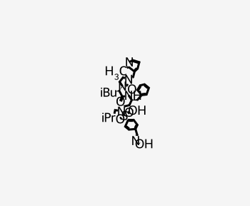 CC[C@H](C)[C@@H](C(=O)N[C@@H](Cc1ccccc1)[C@H](O)CN(CC(C)C)S(=O)(=O)c1ccc(/C=N/O)cc1)N1CCN(Cc2cccnc2C)C1=O